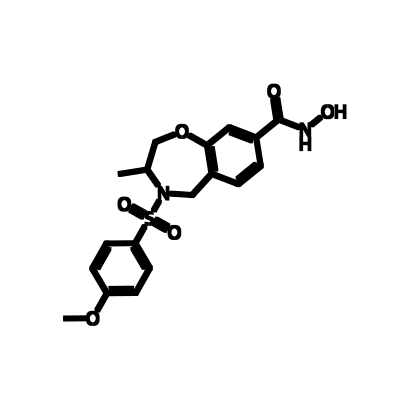 COc1ccc(S(=O)(=O)N2Cc3ccc(C(=O)NO)cc3OCC2C)cc1